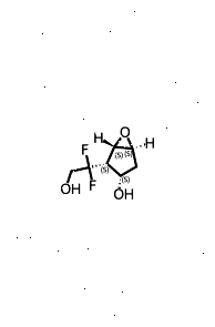 OCC(F)(F)[C@@H]1[C@@H]2O[C@H]2C[C@@H]1O